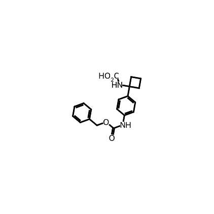 O=C(O)NC1(c2ccc(NC(=O)OCc3ccccc3)cc2)CCC1